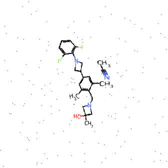 CC#N.Cc1cc(C2CN(c3c(F)cccc3F)C2)cc(C)c1CN1CC(C)(O)C1